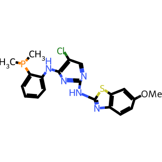 COc1ccc2nc(Nc3ncc(Cl)c(Nc4ccccc4P(C)C)n3)sc2c1